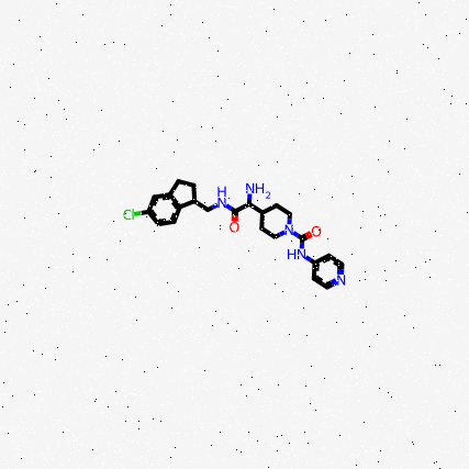 NC(C(=O)NCC1CCc2cc(Cl)ccc21)C1CCN(C(=O)Nc2ccncc2)CC1